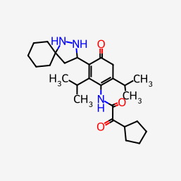 CC(C)C1=C(NC(=O)C(=O)C2CCCC2)C(C(C)C)=C(C2CC3(CCCCC3)NN2)C(=O)C1